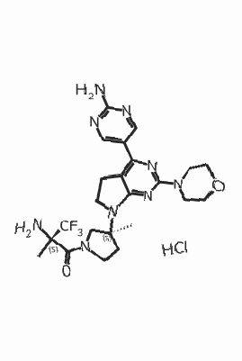 C[C@]1(N2CCc3c(-c4cnc(N)nc4)nc(N4CCOCC4)nc32)CCN(C(=O)[C@](C)(N)C(F)(F)F)C1.Cl